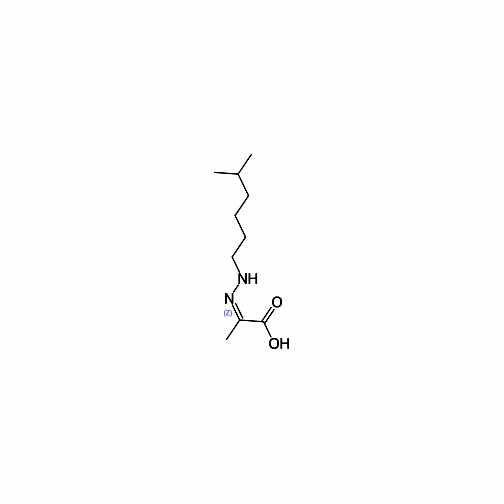 C/C(=N/NCCCCC(C)C)C(=O)O